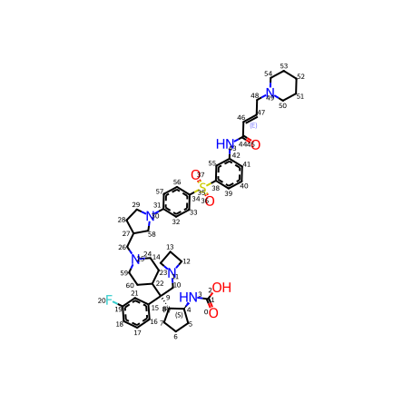 O=C(O)N[C@H]1CCC[C@@H]1C(CN1CCC1)(c1cccc(F)c1)C1CCN(CC2CCN(c3ccc(S(=O)(=O)c4cccc(NC(=O)/C=C/CN5CCCCC5)c4)cc3)C2)CC1